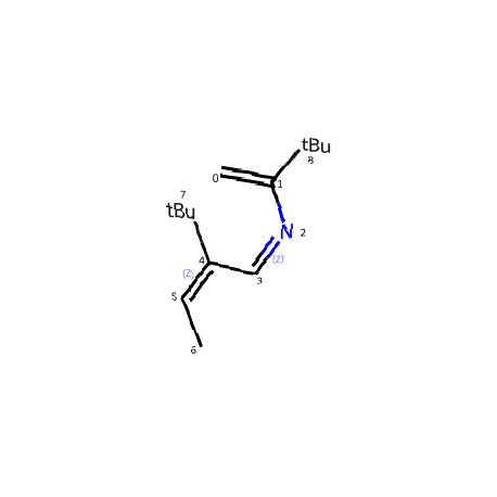 C=C(/N=C\C(=C/C)C(C)(C)C)C(C)(C)C